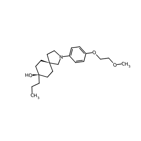 CCC[C@]1(O)CC[C@]2(CCN(c3ccc(OCCOC)cc3)C2)CC1